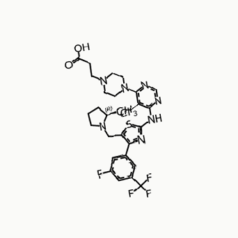 C[C@@H]1CCCN1Cc1sc(Nc2ncnc(N3CCN(CCC(=O)O)CC3)c2Cl)nc1-c1cc(F)cc(C(F)(F)F)c1